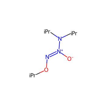 CC(C)O/N=[N+](\[O-])N(C(C)C)C(C)C